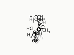 CC(=O)c1cc(NC(=O)C(C)(C)CO[N+](=O)[O-])ccc1OCC(O)CNC(C)(C)C.Cl